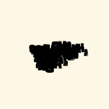 Nc1nc2c(nnn2[C@@H]2S[C@H](CO)[C@@H](O)[C@H]2OP(=O)(S)OC[C@H]2OCC(c3cnc4c(N)ncnn34)[C@@H]2O)c(=O)[nH]1